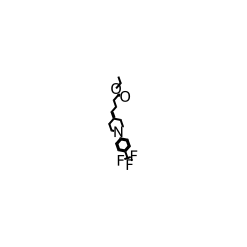 CCOC(=O)CCC=C1CCN(c2ccc(C(F)(F)F)cc2)CC1